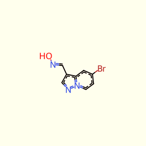 ON=Cc1cnn2ccc(Br)cc12